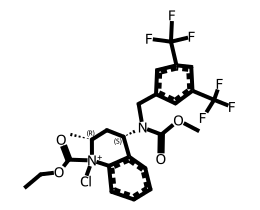 CCOC(=O)[N+]1(Cl)c2ccccc2[C@@H](N(Cc2cc(C(F)(F)F)cc(C(F)(F)F)c2)C(=O)OC)C[C@H]1C